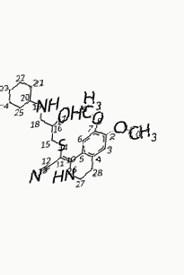 COc1cc2c(cc1OC)C(=C(C#N)SCC(O)CNC1CCCCC1)NCC2